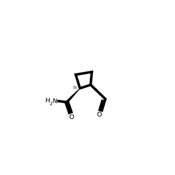 NC(=O)[C@H]1CCC1C=O